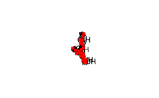 O=C(O)N[C@H](CF)C1CCC(C(=O)N2CC[C@@H](C3CCCCC3)[C@H]2C(=O)Nc2ccc3oc(C(=O)NS(=O)(=O)N4CCCCC4)cc3c2)CC1